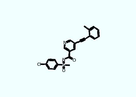 Cc1ccccc1C#Cc1cncc(C(=O)N=S(C)(=O)c2ccc(Cl)cc2)c1